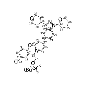 CC(C)(C)[Si](C)(C)OC[C@H](c1cccc(Cl)c1)n1ccc(-c2ccc3c(c2)c(C2=CCOCC2)nn3C2CCCCO2)cc1=O